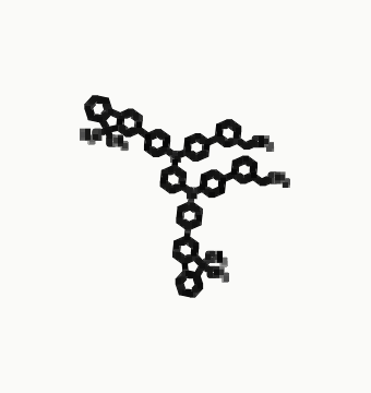 C=Cc1cccc(-c2ccc(N(c3ccc(-c4ccc5c(c4)C(C)(C)c4ccccc4-5)cc3)c3cccc(N(c4ccc(-c5cccc(C=C)c5)cc4)c4ccc(-c5ccc6c(c5)C(C)(C)c5ccccc5-6)cc4)c3)cc2)c1